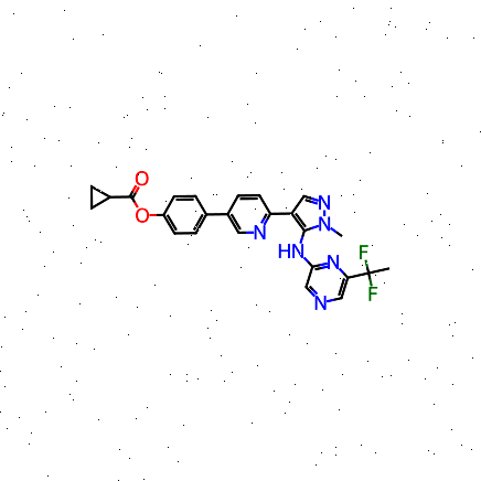 Cn1ncc(-c2ccc(-c3ccc(OC(=O)C4CC4)cc3)cn2)c1Nc1cncc(C(C)(F)F)n1